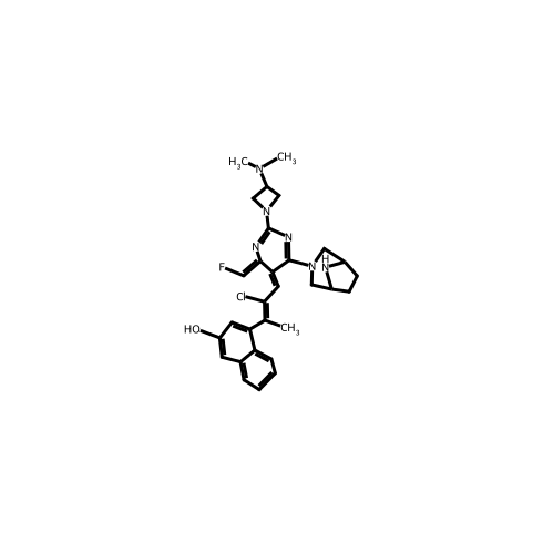 C\C(=C(Cl)/C=c1/c(N2CC3CCC(C2)N3)nc(N2CC(N(C)C)C2)n/c1=C\F)c1cc(O)cc2ccccc12